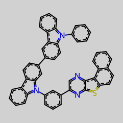 c1ccc(-n2c3ccccc3c3cc(-c4ccc5c6ccccc6n(-c6cccc(-c7cnc8c(n7)sc7ccc9ccccc9c78)c6)c5c4)ccc32)cc1